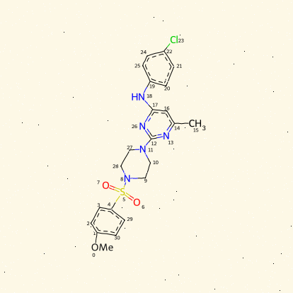 COc1ccc(S(=O)(=O)N2CCN(c3nc(C)cc(Nc4ccc(Cl)cc4)n3)CC2)cc1